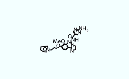 COc1c(OCCCN2CC3CCC(C2)O3)ccc2c1N=C(NC(=O)c1cnc(N)nc1)N1CCN=C21